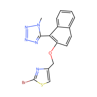 Cn1nnnc1-c1c(OCc2csc(Br)n2)ccc2ccccc12